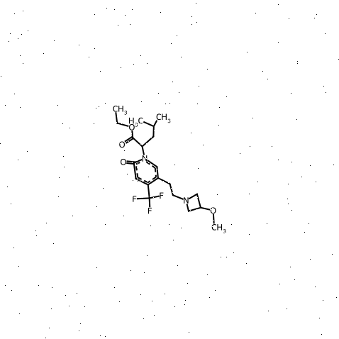 CCOC(=O)C(CC(C)C)n1cc(CCN2CC(OC)C2)c(C(F)(F)F)cc1=O